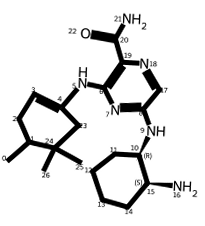 CC1CC=C(Nc2nc(N[C@@H]3CCCC[C@@H]3N)cnc2C(N)=O)CC1(C)C